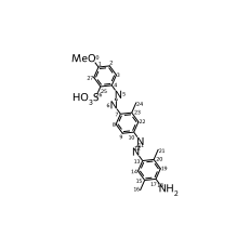 COc1ccc(N=Nc2ccc(N=Nc3cc(C)c(N)cc3C)cc2C)c(S(=O)(=O)O)c1